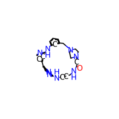 O=C1CN2CCN(CC2)Cc2cccc(c2)Nc2cc(ccn2)-c2cnc(nc2)NCCCN1